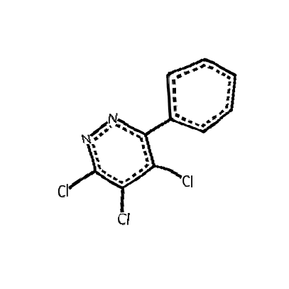 Clc1nnc(-c2ccccc2)c(Cl)c1Cl